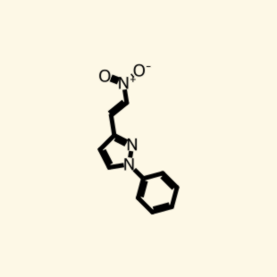 O=[N+]([O-])C=Cc1ccn(-c2ccccc2)n1